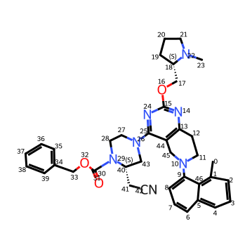 Cc1cccc2cccc(N3CCc4nc(OC[C@@H]5CCCN5C)nc(N5CCN(C(=O)OCc6ccccc6)[C@@H](CC#N)C5)c4C3)c12